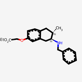 CCOC(=O)COc1ccc2c(c1)C[C@H](NCc1ccccc1)[C@@H](C)C2